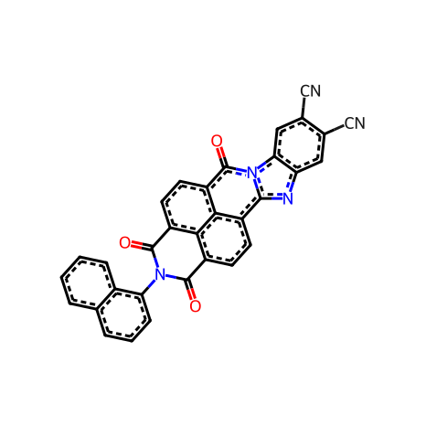 N#Cc1cc2nc3c4ccc5c6c(ccc(c(=O)n3c2cc1C#N)c64)C(=O)N(c1cccc2ccccc12)C5=O